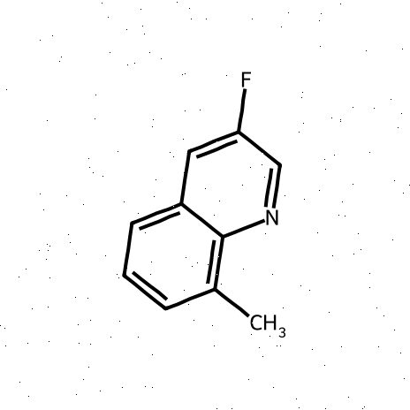 Cc1cccc2cc(F)cnc12